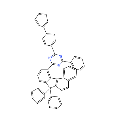 c1ccc(-c2ccc(-c3nc(-c4ccccc4)nc(-c4cccc5c4-c4c(ccc6ccccc46)[Si]5(c4ccccc4)c4ccccc4)n3)cc2)cc1